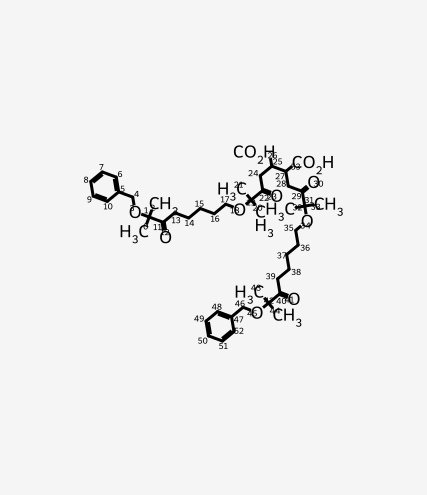 CC(C)(OCc1ccccc1)C(=O)CCCCCOC(C)(C)C(=O)CC(C(=O)O)C(CC(=O)C(C)(C)OCCCCCC(=O)C(C)(C)OCc1ccccc1)C(=O)O